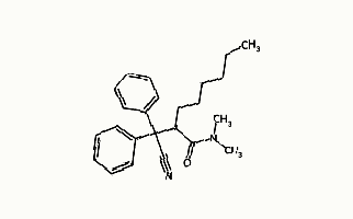 CCCCCCC(C(=O)N(C)C)C(C#N)(c1ccccc1)c1ccccc1